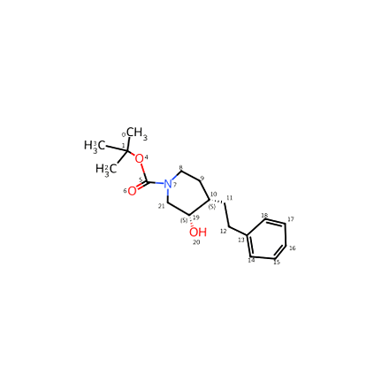 CC(C)(C)OC(=O)N1CC[C@H](CCc2ccccc2)[C@H](O)C1